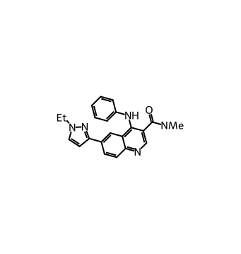 CCn1ccc(-c2ccc3ncc(C(=O)NC)c(Nc4ccccc4)c3c2)n1